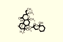 C=C[C@@]1(C)CC(=O)[C@@H]2[C@@]3(C)CCCC(C)(C)[C@@H]3[C@H](OC(=O)CN3CCCCC3(O)O)C[C@@]2(C)O1